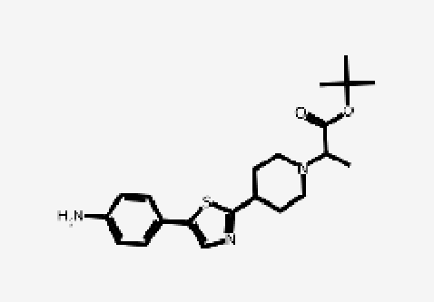 CC(C(=O)OC(C)(C)C)N1CCC(c2ncc(-c3ccc(N)cc3)s2)CC1